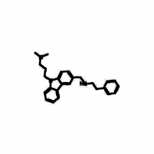 CN(C)CCCn1c2ccccc2c2cc(CNCCc3ccccc3)ccc21